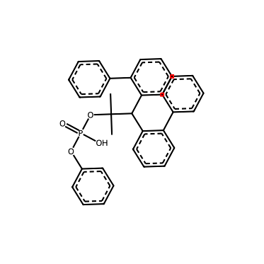 CC(C)(OP(=O)(O)Oc1ccccc1)C(c1ccccc1-c1ccccc1)c1ccccc1-c1ccccc1